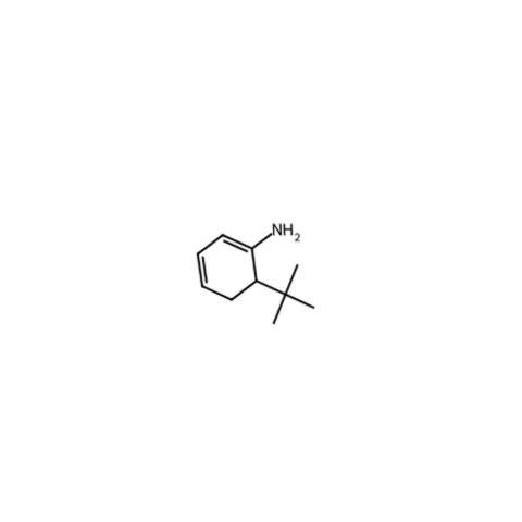 CC(C)(C)C1CC=CC=C1N